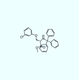 COC(=O)[C@@H](COc1cccc(Cl)c1)NC(c1ccccc1)(c1ccccc1)c1ccccc1